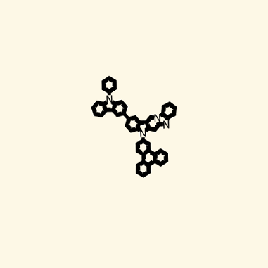 c1ccc(-n2c3ccccc3c3cc(-c4ccc5c(c4)c4cn6c(cc4n5-c4ccc5c7ccccc7c7ccccc7c5c4)nc4ccccc46)ccc32)cc1